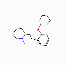 CN1CCCCC1CCc1ccccc1OC1CCCCC1